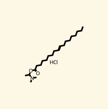 CCCCCCCCC=CCCCCCCCC(=O)OC(C)N(C)C.Cl